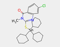 Cn1c([S][Sn]([CH]2CCCCC2)([CH]2CCCCC2)[CH]2CCCCC2)nc2cc(Cl)ccc2c1=O